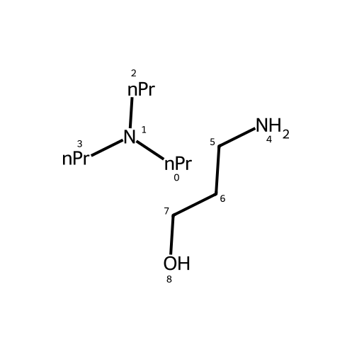 CCCN(CCC)CCC.NCCCO